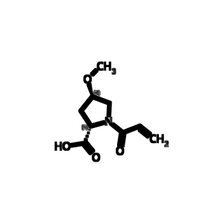 C=CC(=O)N1C[C@H](OC)C[C@H]1C(=O)O